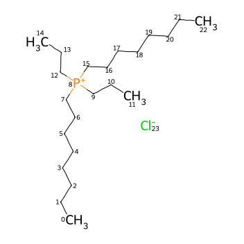 CCCCCCCC[P+](CCC)(CCC)CCCCCCCC.[Cl-]